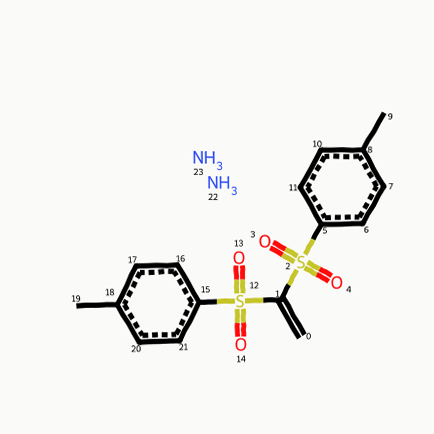 C=C(S(=O)(=O)c1ccc(C)cc1)S(=O)(=O)c1ccc(C)cc1.N.N